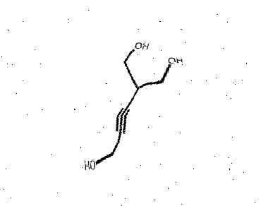 OCC#CC(CO)CO